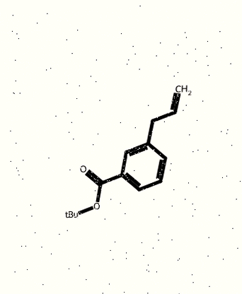 C=CCc1cccc(C(=O)OC(C)(C)C)c1